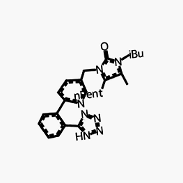 CCCCCc1c(C)n(C(C)CC)c(=O)n1Cc1ccc(-c2ccccc2-c2nnn[nH]2)nc1